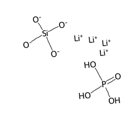 O=P(O)(O)O.[Li+].[Li+].[Li+].[Li+].[O-][Si]([O-])([O-])[O-]